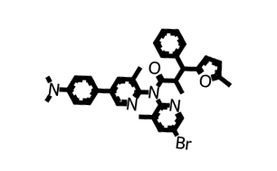 Cc1ccc(C(c2ccccc2)C(C)C(=O)N(c2ncc(Br)cc2C)c2ncc(-c3ccc(N(C)C)cc3)cc2C)o1